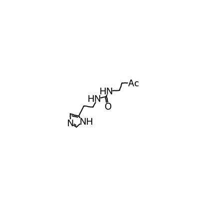 CC(=O)CCNC(=O)NCCc1cnc[nH]1